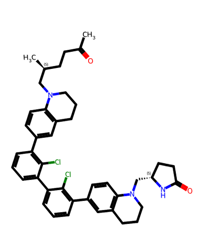 CC(=O)CC[C@H](C)CN1CCCc2cc(-c3cccc(-c4cccc(-c5ccc6c(c5)CCCN6C[C@@H]5CCC(=O)N5)c4Cl)c3Cl)ccc21